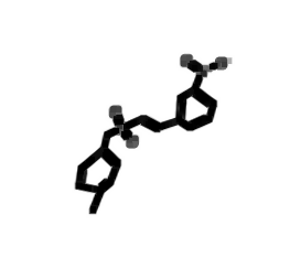 Cc1ccc(CS(=O)(=O)C=Cc2cccc([N+](=O)[O-])c2)cc1